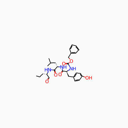 CCC[C@@H](C=O)NC(=O)[C@H](CC(C)C)NC(=O)[C@H](Cc1ccc(O)cc1)NC(=O)OCc1ccccc1